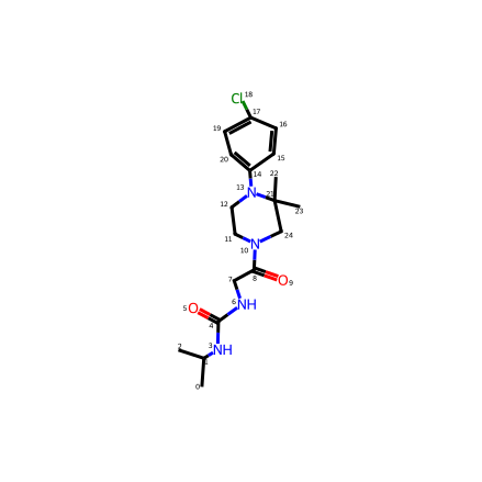 CC(C)NC(=O)NCC(=O)N1CCN(c2ccc(Cl)cc2)C(C)(C)C1